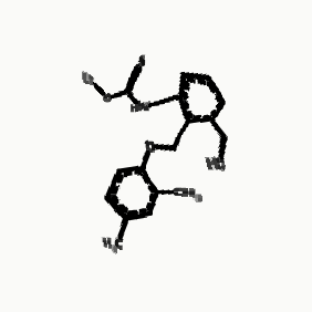 CCOC(=S)Nc1cccc(CO)c1COc1ccc(C)cc1C